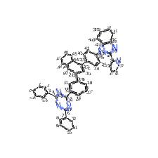 c1ccc(-c2nc(-c3ccccc3)nc(-c3cccc(-c4cc(-c5ccc(-n6c(-c7ccccn7)nc7ccccc76)cc5)c5ccccc5c4)c3)n2)cc1